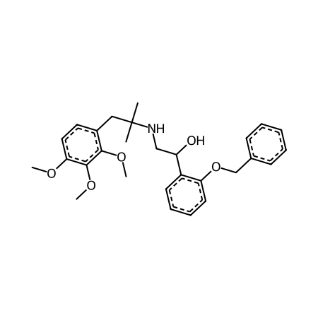 COc1ccc(CC(C)(C)NCC(O)c2ccccc2OCc2ccccc2)c(OC)c1OC